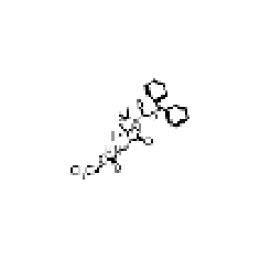 CC1(C)S[C@@H]2[C@@H](CNC(=O)OCC(Cl)(Cl)Cl)C(=O)N2[C@H]1C(=O)OC(c1ccccc1)c1ccccc1